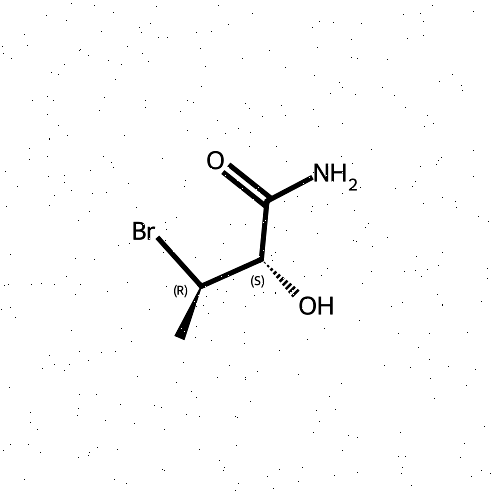 C[C@@H](Br)[C@@H](O)C(N)=O